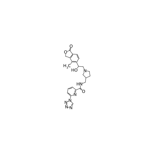 Cc1c(C(O)CN2CCC(CNC(=O)c3cccc(-n4cnnn4)n3)C2)ccc2c1COC2=O